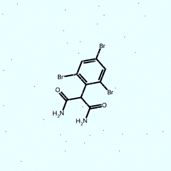 NC(=O)C(C(N)=O)c1c(Br)cc(Br)cc1Br